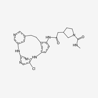 CNC(=O)N1CCC(CC(=O)Nc2ccc3cc2CCc2cncc(c2)Nc2ncc(Cl)c(n2)N3)C1